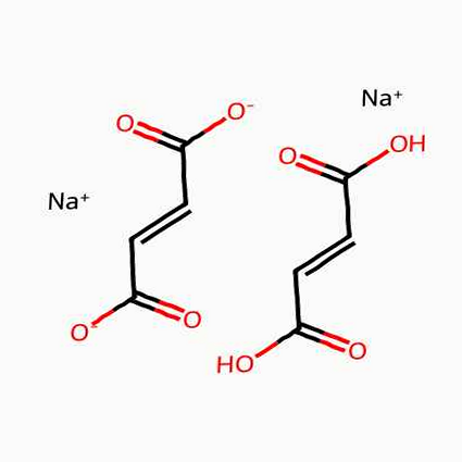 O=C(O)/C=C/C(=O)O.O=C([O-])/C=C/C(=O)[O-].[Na+].[Na+]